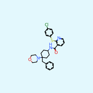 O=C(NC1CCC(Cc2ccccc2)(N2CCOCC2)CC1)c1cccnc1Sc1ccc(Cl)cc1